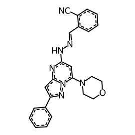 N#Cc1ccccc1C=NNc1cc(N2CCOCC2)n2nc(-c3ccccc3)cc2n1